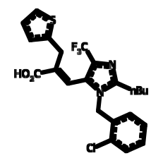 CCCCc1nc(C(F)(F)F)c(C=C(Cc2cccs2)C(=O)O)n1Cc1ccccc1Cl